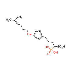 CC(C)=CCCCOc1ccc(CCCC(P(=O)(O)O)S(=O)(=O)O)cc1